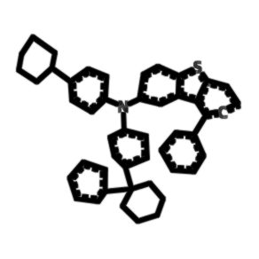 c1ccc(-c2cccc3sc4ccc(N(c5ccc(C6CCCCC6)cc5)c5ccc(C6(c7ccccc7)CCCCC6)cc5)cc4c23)cc1